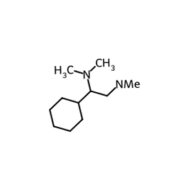 CNCC(C1CCCCC1)N(C)C